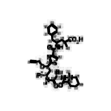 C#CCO[C@H](C[C@H](C(C)C)N(C)C(=O)[C@@H](NC(=O)C1CCCCN1C)[C@@H](C)CC)c1nc(C(=O)NC(Cc2ccccc2)CC(C)C(=O)O)cs1